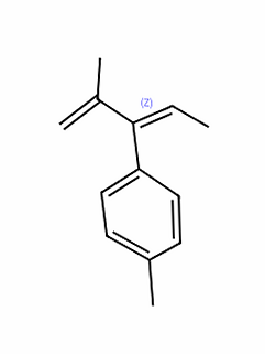 C=C(C)/C(=C/C)c1ccc(C)cc1